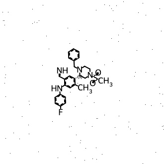 Cc1cc(Nc2ccc(F)cc2)c(C=N)cc1[C@H]1CN(S(C)(=O)=O)CCN1Cc1ccccc1